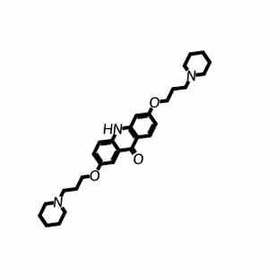 O=c1c2ccc(OCCCN3CCCCC3)cc2[nH]c2ccc(OCCCN3CCCCC3)cc12